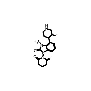 Cn1c(=O)n(N2C(=O)CCCC2=O)c2cccc(C3CCNCC3F)c21